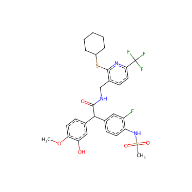 COc1ccc(C(C(=O)NCc2ccc(C(F)(F)F)nc2SC2CCCCC2)c2ccc(NS(C)(=O)=O)c(F)c2)cc1O